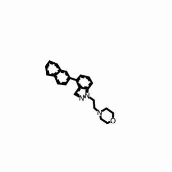 c1ccc2cc(-c3cccc4c3cnn4CCN3CCOCC3)ccc2c1